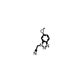 COc1ccc2nnn(CC#N)c2c1